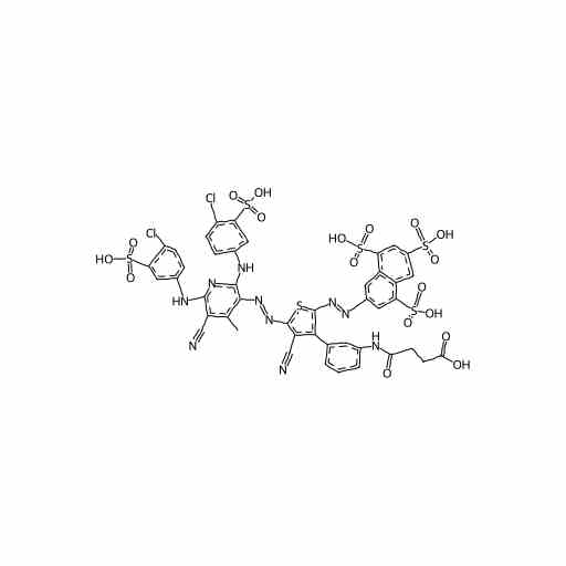 Cc1c(C#N)c(Nc2ccc(Cl)c(S(=O)(=O)O)c2)nc(Nc2ccc(Cl)c(S(=O)(=O)O)c2)c1N=Nc1sc(N=Nc2cc(S(=O)(=O)O)c3cc(S(=O)(=O)O)cc(S(=O)(=O)O)c3c2)c(-c2cccc(NC(=O)CCC(=O)O)c2)c1C#N